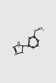 FC(F)(F)Oc1cccc(C2CN=CN2)c1